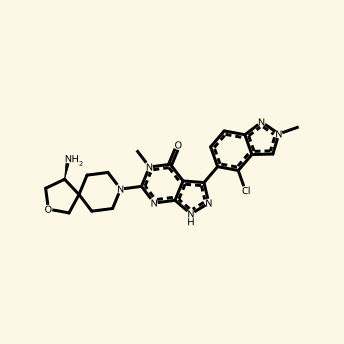 Cn1cc2c(Cl)c(-c3n[nH]c4nc(N5CCC6(CC5)COC[C@H]6N)n(C)c(=O)c34)ccc2n1